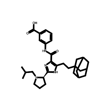 CC(C)CN1CCC[C@@H]1c1nc(C(=O)Nc2cccc(C(=O)O)c2)c(CCC23CC4CC(CC(C4)C2)C3)[nH]1